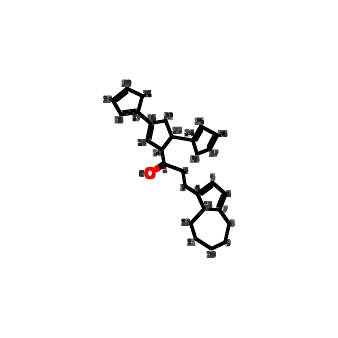 O=C(CCC1=CC=C2CCCCCC21)C1C=C(C2=CC=CC2)CC1C1=CC=CC1